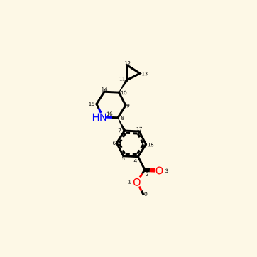 COC(=O)c1ccc([C@@H]2C[C@H](C3CC3)CCN2)cc1